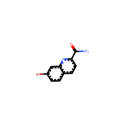 NC(=O)c1ccc2ccc(Br)cc2n1